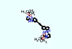 CC(C)(C)OC(=O)N1CCC[C@H]1c1nc2ccc(C#Cc3ccc4c(ccc5nc([C@@H]6CCCN6C(=O)OC(C)(C)C)[nH]c54)c3)cc2[nH]1